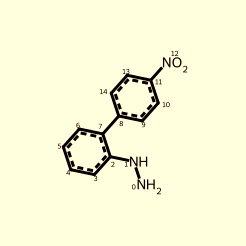 NNc1ccccc1-c1ccc([N+](=O)[O-])cc1